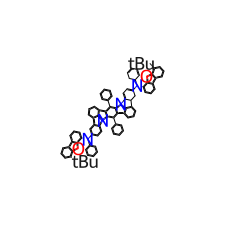 CC(C)(C)c1cccc2c1oc1c(N(c3ccccc3)c3ccc4c(c3)c3cccc5c6c(-c7ccccc7)c7c(c(-c8ccccc8)c6n4c35)c3cccc4c3n7C3=CC=C(N(c5cccc6c5oc5c(C(C)(C)C)cccc56)C5C=CC=CC5)CC34)cccc12